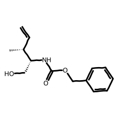 C=C[C@@H](C)[C@@H](CO)NC(=O)OCc1ccccc1